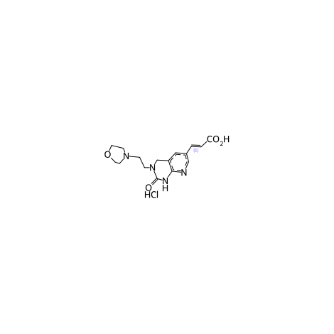 Cl.O=C(O)/C=C/c1cnc2c(c1)CN(CCN1CCOCC1)C(=O)N2